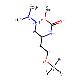 CC[Si](CC)(CC)OCCC(CNN(C)C(=O)O)NC(=O)OC(C)(C)C